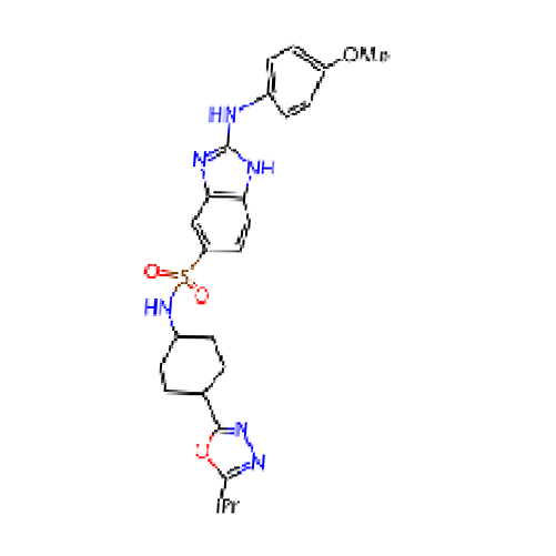 COc1ccc(Nc2nc3cc(S(=O)(=O)NC4CCC(c5nnc(C(C)C)o5)CC4)ccc3[nH]2)cc1